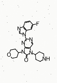 O=c1n(C2CCNCC2)c2cnc(-n3cnc4ccc(F)cc43)nc2n1C1CCOCC1